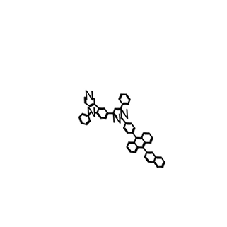 c1ccc(-c2cc(-c3ccc4c(c3)c3cnccc3n4-c3ccccc3)nc(-c3ccc(-c4c5ccccc5c(-c5ccc6ccccc6c5)c5ccccc45)cc3)n2)cc1